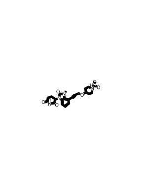 Cn1c(=O)n(C2CCC(=O)NC2=O)c2cccc(C#CCOC3CCN([SH](=O)=O)CC3)c21